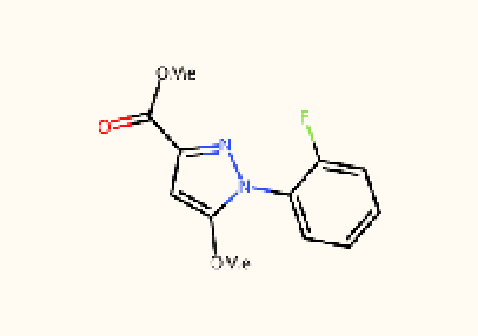 COC(=O)c1cc(OC)n(-c2ccccc2F)n1